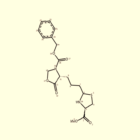 COC(=O)[C@@H]1CSC(CCC[C@@H]2C(=O)OCN2C(=O)OCc2ccccc2)N1